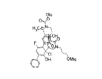 COCCCn1cc(C2(Cl)C(n3ccn(C)c3=O)=C(F)C=C(c3ccccc3)C2O)cc(N2CCN(C(=O)OC(C)(C)C)[C@H](C)C2)c1=O